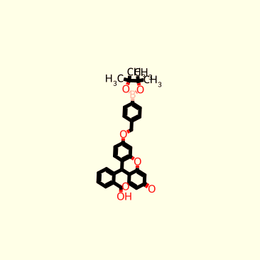 CC1(C)OB(c2ccc(COc3ccc4c(c3)OC3=CC(=O)C=CC3C4c3ccccc3C(=O)O)cc2)OC1(C)C